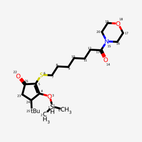 C[SiH](C)OC1=C(SCCCCCCC(=O)N2CCOCC2)C(=O)CC1C(C)(C)C